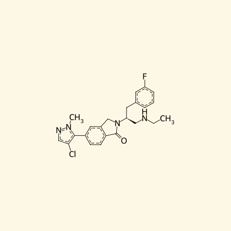 CCNC[C@H](Cc1cccc(F)c1)N1Cc2cc(-c3c(Cl)cnn3C)ccc2C1=O